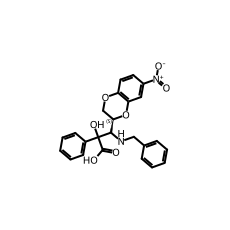 O=C(O)C(O)(c1ccccc1)C(NCc1ccccc1)[C@H]1COc2ccc([N+](=O)[O-])cc2O1